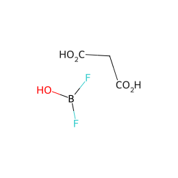 O=C(O)CC(=O)O.OB(F)F